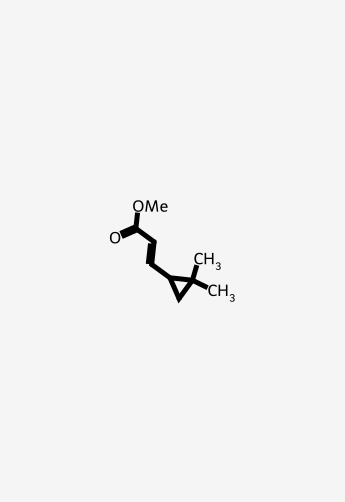 COC(=O)C=CC1CC1(C)C